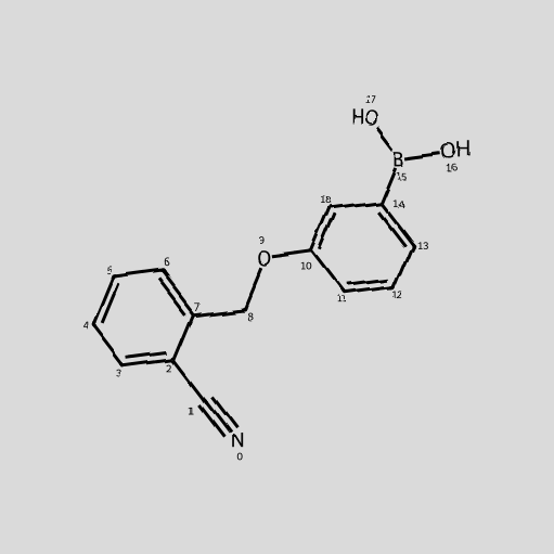 N#Cc1ccccc1COc1cccc(B(O)O)c1